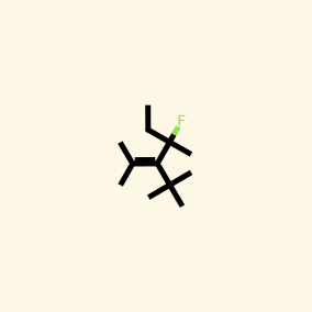 CCC(C)(F)C(=C(C)C)C(C)(C)C